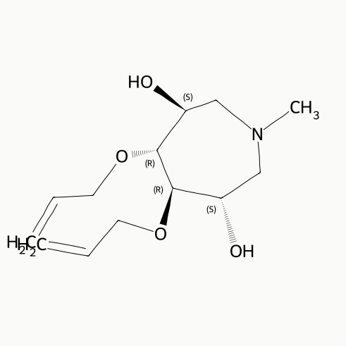 C=CCO[C@H]1[C@H](OCC=C)[C@@H](O)CN(C)C[C@@H]1O